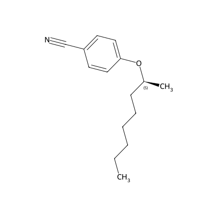 CCCCCC[C@H](C)Oc1ccc(C#N)cc1